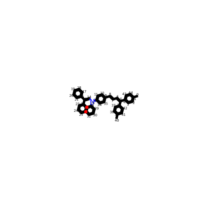 Cc1ccc(C(=C/C=C/c2ccc(N(C=C(c3ccccc3)c3ccccc3)c3ccccc3)cc2)c2ccc(C)cc2)cc1